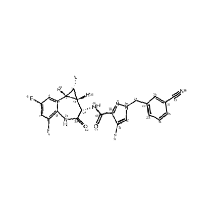 C[C@H]1[C@H]2c3cc(F)cc(F)c3NC(=O)[C@@H](NC(=O)c3nn(Cc4cccc(C#N)c4)cc3F)[C@@H]12